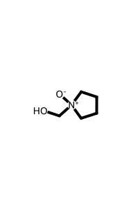 [O-][N+]1(CO)CCCC1